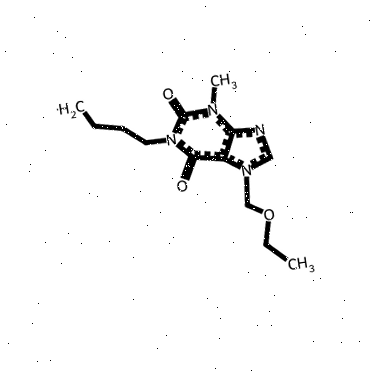 [CH2]CCCn1c(=O)c2c(ncn2COCC)n(C)c1=O